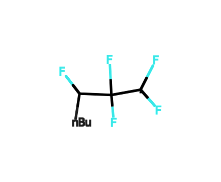 CCCCC(F)C(F)(F)[C](F)F